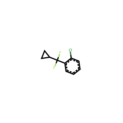 FC(F)(c1cc[c]cc1Cl)C1CC1